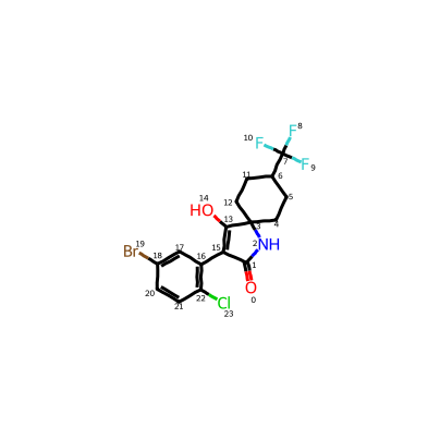 O=C1NC2(CCC(C(F)(F)F)CC2)C(O)=C1c1cc(Br)ccc1Cl